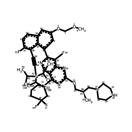 COCOc1cc(-c2ncc3c(N4CCCC(F)(F)C4)nc(OC[C@H](C)CN4CCNCC4)nc3c2F)c2c(C#C[Si](C(C)C)(C(C)C)C(C)C)c(F)ccc2c1